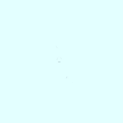 C/C=C/CCC1CCC(c2ccc(COCC=CCC)cc2)CC1